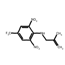 C=C(C)CNc1c([N+](=O)[O-])cc(C(F)(F)F)cc1[N+](=O)[O-]